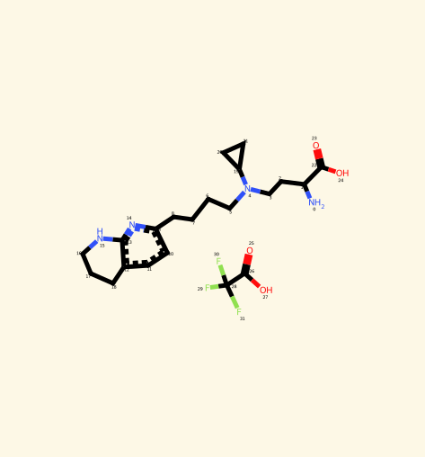 NC(CCN(CCCCc1ccc2c(n1)NCCC2)C1CC1)C(=O)O.O=C(O)C(F)(F)F